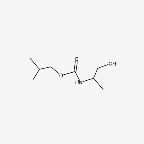 CC(C)COC(=O)NC(C)CO